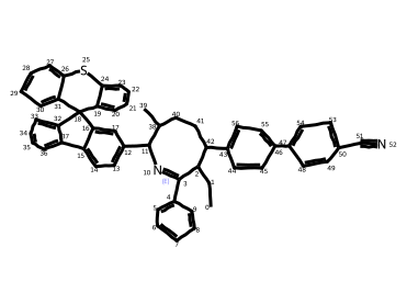 CCC1/C(c2ccccc2)=N\C(c2ccc3c(c2)C2(c4ccccc4Sc4ccccc42)c2ccccc2-3)C(C)CCC1c1ccc(-c2ccc(C#N)cc2)cc1